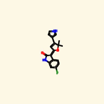 CC1(C)O/C(=C2/C(=O)Nc3cc(F)ccc32)C=C1c1cc[nH]c1